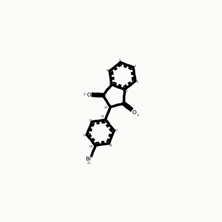 O=C1c2ccccc2C(=O)C1c1ccc(Br)cc1